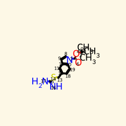 CC(C)(C)OC(=O)n1ccc2cc(CSC(=N)N)ccc21